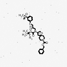 CC(C)(C)OC(=O)N(C[C@H](O)COc1cccc(S(C)(=O)=O)c1)[C@H]1COC2(CCN(C(=O)OCc3ccccc3)CC2)C1